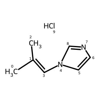 CC(C)=Cn1ccnc1.Cl